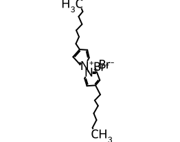 CCCCCCCc1cc[n+](-[n+]2ccc(CCCCCCC)cc2)cc1.[Br-].[Br-]